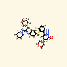 O=c1cc(N2CCOCC2)cc(-c2cccc3c2Sc2ccc(NC(CN4CCCCC4)CN4CCOCC4)cc2S3)[nH]1